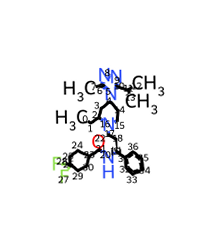 CCC1CC(n2c(C)nnc2C(C)C)CCN1CC[C@H](NC(=O)C1CCC(F)(F)CC1)c1ccccc1